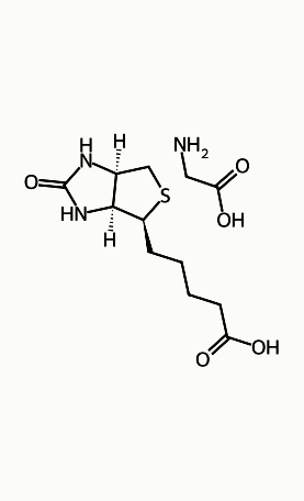 NCC(=O)O.O=C(O)CCCC[C@@H]1SC[C@@H]2NC(=O)N[C@@H]21